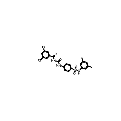 Cc1cc(C)cc(NS(=O)(=O)c2ccc(NC(=S)NC(=O)c3cc(Cl)cc(Cl)c3)cc2)c1